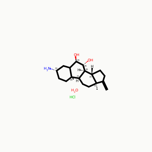 C=C1CC[C@H]2[C@@H]3[C@@H](O)[C@H](O)C4C[C@@H](N)CC[C@]4(C)[C@H]3CC[C@]12C.Cl.O